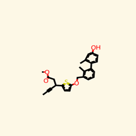 CC#CC(CC(=O)OC)c1ccc(OCc2cccc(-c3ccc(O)cc3C)c2C)s1